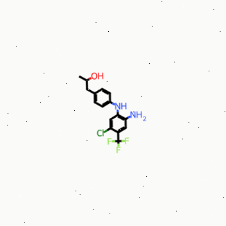 CC(O)Cc1ccc(Nc2cc(Cl)c(C(F)(F)F)cc2N)cc1